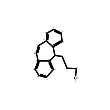 OCCCC1c2ccccc2C=Cc2ccccc21